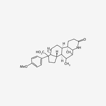 COc1ccc(C2(C(=O)O)CC[C@H]3[C@@H]4C(C)CC5NC(=O)CC[C@]5(C)[C@@H]4CC[C@@]32C)cc1